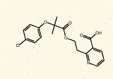 CC(C)(Oc1ccc(Cl)cc1)C(=O)OCCc1ncccc1C(=O)O